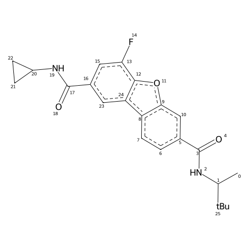 CC(NC(=O)c1ccc2c(c1)oc1c(F)cc(C(=O)NC3CC3)cc12)C(C)(C)C